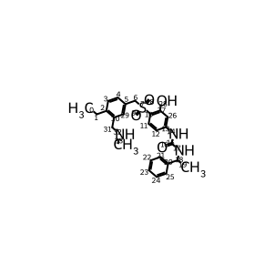 CCc1ccc(CS(=O)(=O)c2ccc(NC(=O)NC(C)c3ccccc3)cc2O)cc1CNC